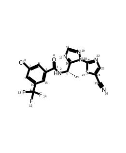 C[C@H](NC(=O)c1cc(Cl)cc(C(F)(F)F)c1)c1ncnn1-c1ncc(C#N)s1